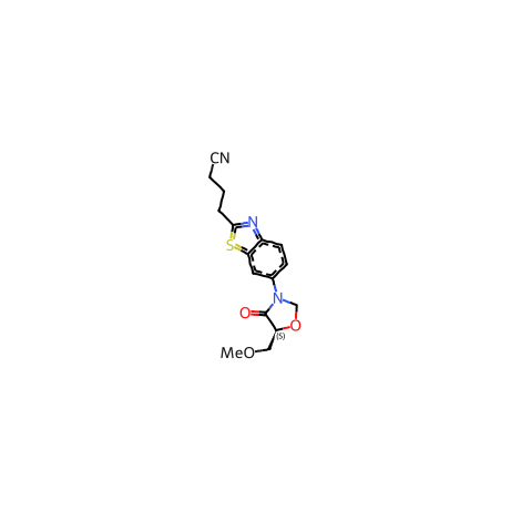 COC[C@@H]1OCN(c2ccc3nc(CCCC#N)sc3c2)C1=O